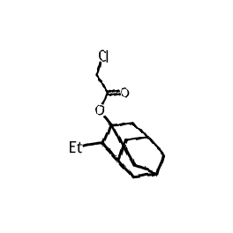 CCC1C2CC3CC(C2)CC1(OC(=O)CCl)C3